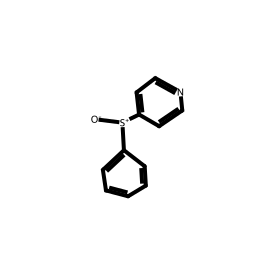 [O-][S+](c1ccccc1)c1ccncc1